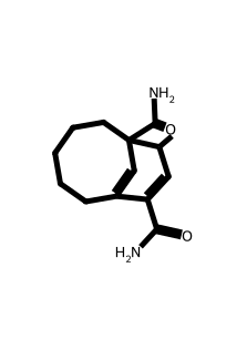 CC1C=C(C(N)=O)C2=CC1(C(N)=O)CCCCC2